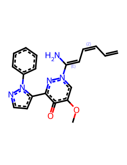 C=C/C=C\C=C(/N)n1cc(OC)c(=O)c(-c2ccnn2-c2ccccc2)n1